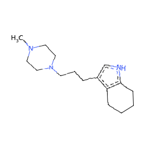 CN1CCN(CCCc2c[nH]c3c2CCCC3)CC1